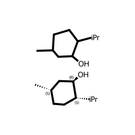 CC(C)[C@@H]1CC[C@H](C)C[C@H]1O.CC1CCC(C(C)C)C(O)C1